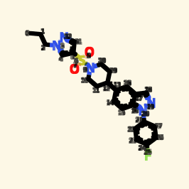 CCCn1cc(S(=O)(=O)N2CC[C](c3ccc4c(cnn4-c4ccc(F)cc4)c3)CC2)cn1